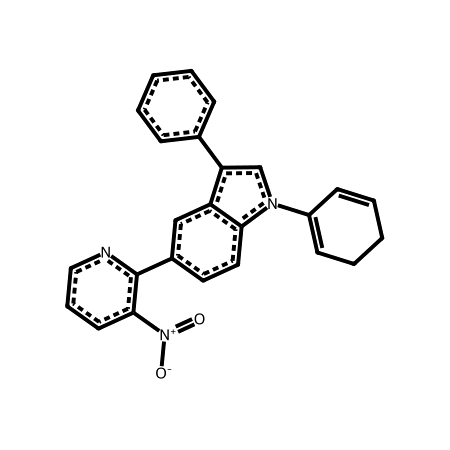 O=[N+]([O-])c1cccnc1-c1ccc2c(c1)c(-c1ccccc1)cn2C1=CCCC=C1